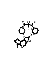 CC(C)(C(=O)N1CCC[C@@H](n2c(=O)[nH]c3cnc4[nH]ccc4c32)C1)C(O)c1ccccc1